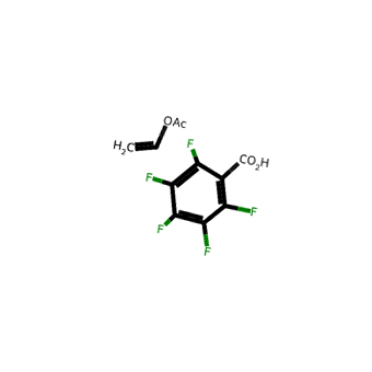 C=COC(C)=O.O=C(O)c1c(F)c(F)c(F)c(F)c1F